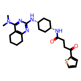 CN(C)c1nc(N[C@H]2CC[C@@H](NC(=O)CCC(=O)c3cccs3)CC2)nc2c1CCCC2